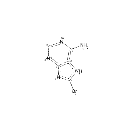 NC1=c2[nH]c(Br)nc2=[N+]C=N1